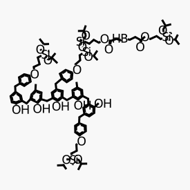 Cc1cc(Cc2cc(Cc3ccc(OCCC[Si](C)(OC(C)C)OC(C)C)cc3)ccc2O)c(O)c(Cc2cc(Cc3ccc(OCCC[Si](C)(OC(C)C)O[Si](C)(CCCOC(=O)CCBCCC(=O)OCCC[Si](C)(OC(C)C)OC(C)C)OC(C)C)cc3)cc(Cc3cc(C)cc(Cc4cc(Cc5ccc(OCCC[Si](C)(OC(C)C)OC(C)C)cc5)ccc4O)c3O)c2O)c1